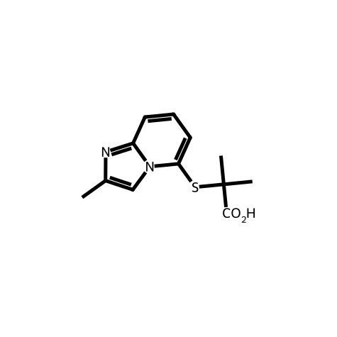 Cc1cn2c(SC(C)(C)C(=O)O)cccc2n1